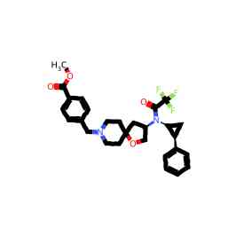 COC(=O)c1ccc(CN2CCC3(CC2)C[C@@H](N(C(=O)C(F)(F)F)[C@@H]2C[C@H]2c2ccccc2)CO3)cc1